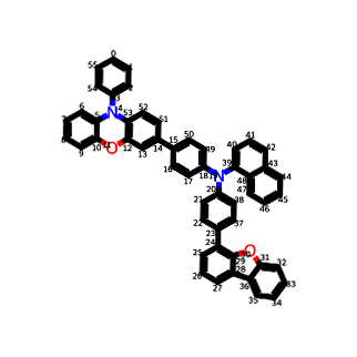 c1ccc(N2c3ccccc3Oc3cc(-c4ccc(N(c5ccc(-c6cccc7c6oc6ccccc67)cc5)c5cccc6ccccc56)cc4)ccc32)cc1